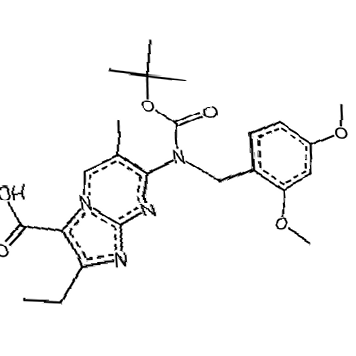 CCc1nc2nc(N(Cc3ccc(OC)cc3OC)C(=O)OC(C)(C)C)c(C)cn2c1C(=O)O